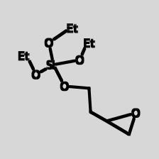 CCO[Si](OCC)(OCC)OCCC1CO1